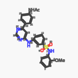 COc1ccccc1NS(=O)(=O)c1cccc(Nc2cc(-c3ccc(NC(C)=O)cc3)ncn2)c1